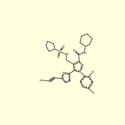 CCCC#Cc1ccc(-c2c(CNS(=O)(=O)N3CCCC3)c(C(=O)NN3CCCCC3)nn2-c2ccc(Cl)cc2Cl)s1